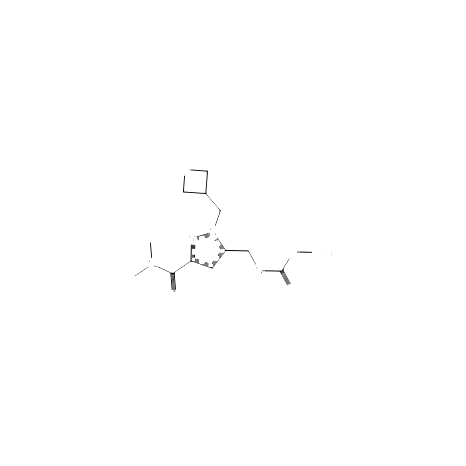 CN(C)C(=O)c1cc(CNC(=O)OC(C)(C)C)n(CC2COC2)n1